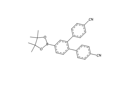 CC1(C)OB(c2ccc(-c3ccc(C#N)cc3)c(-c3ccc(C#N)cc3)c2)OC1(C)C